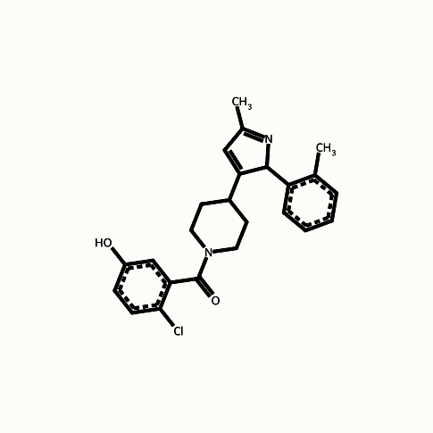 CC1=NC(c2ccccc2C)C(C2CCN(C(=O)c3cc(O)ccc3Cl)CC2)=C1